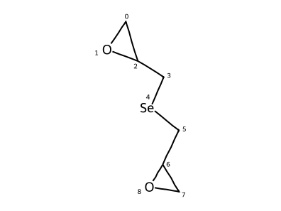 C1OC1C[Se]CC1CO1